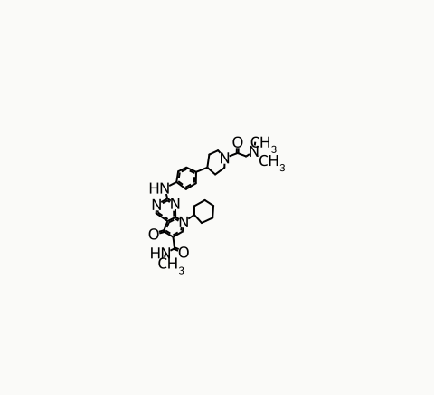 CNC(=O)c1cn(C2CCCCC2)c2nc(Nc3ccc(C4CCN(C(=O)CN(C)C)CC4)cc3)ncc2c1=O